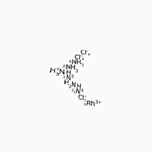 N.N.N.N.N.N.[Cl-].[Cl-].[Cl-].[Rh+3]